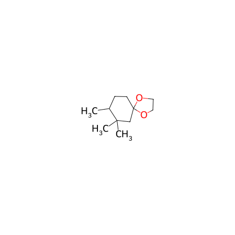 CC1CCC2(CC1(C)C)OCCO2